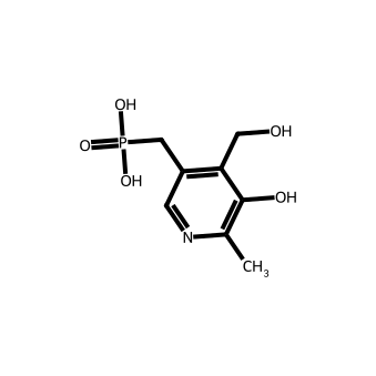 Cc1ncc(CP(=O)(O)O)c(CO)c1O